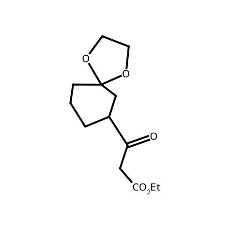 CCOC(=O)CC(=O)C1CCCC2(C1)OCCO2